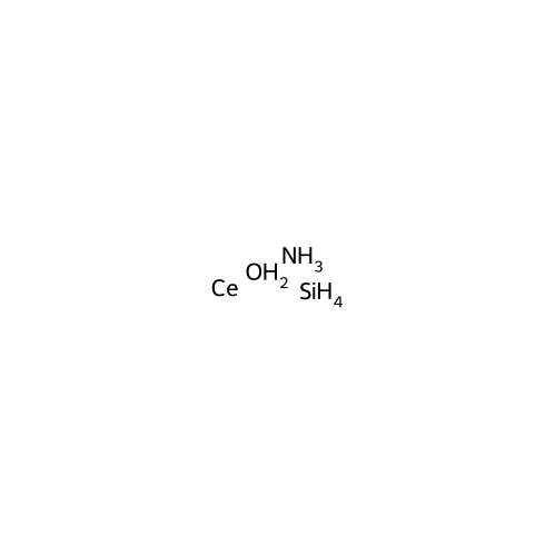 N.O.[Ce].[SiH4]